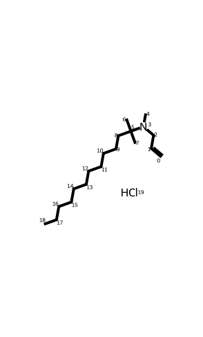 C=CCN(C)C(C)(C)CCCCCCCCCCC.Cl